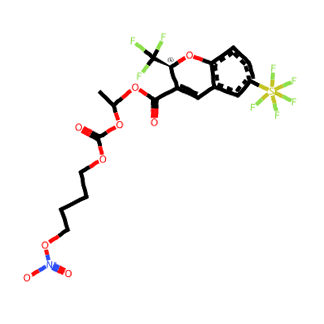 CC(OC(=O)OCCCCO[N+](=O)[O-])OC(=O)C1=Cc2cc(S(F)(F)(F)(F)F)ccc2O[C@@H]1C(F)(F)F